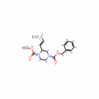 CCOC(=O)C=CC1CN(C(=O)OCc2ccccc2)CCN1C(=O)OC(C)(C)C